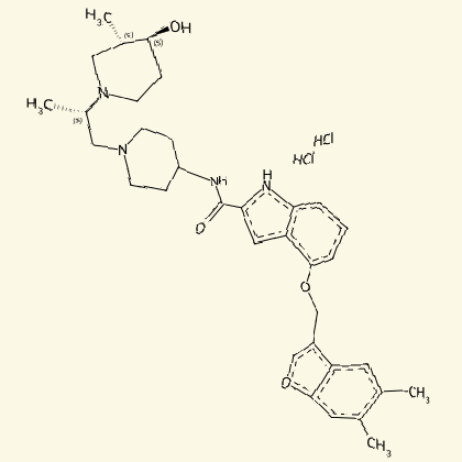 Cc1cc2occ(COc3cccc4[nH]c(C(=O)NC5CCN(C[C@H](C)N6CC[C@H](O)[C@@H](C)C6)CC5)cc34)c2cc1C.Cl.Cl